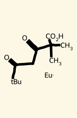 CC(C)(C)C(=O)CC(=O)C(C)(C)C(=O)O.[Eu]